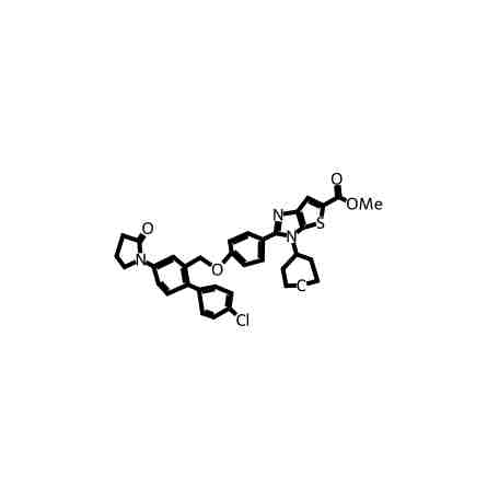 COC(=O)c1cc2nc(-c3ccc(OCc4cc(N5CCCC5=O)ccc4-c4ccc(Cl)cc4)cc3)n(C3CCCCC3)c2s1